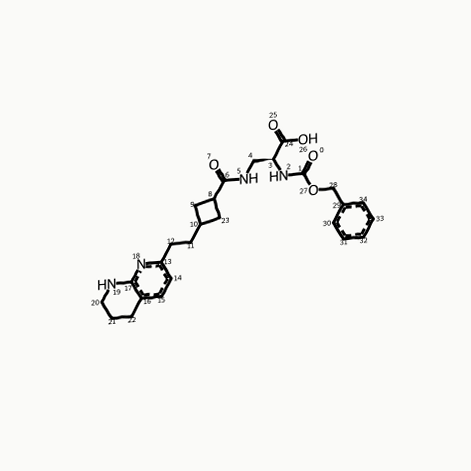 O=C(N[C@@H](CNC(=O)C1CC(CCc2ccc3c(n2)NCCC3)C1)C(=O)O)OCc1ccccc1